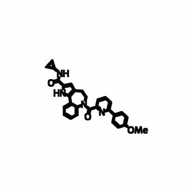 COc1ccc(-c2cccc(C(=O)N3CCc4cc(C(=O)NC5CC5)[nH]c4-c4ccccc43)n2)cc1